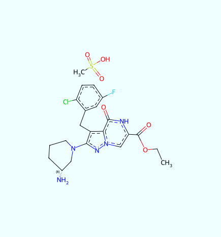 CCOC(=O)c1cn2nc(N3CCC[C@@H](N)C3)c(Cc3cc(F)ccc3Cl)c2c(=O)[nH]1.CS(=O)(=O)O